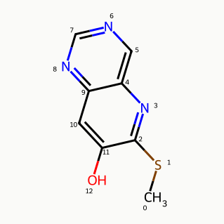 CSc1nc2cncnc2cc1O